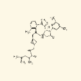 C=C(CN(C)C)C(=O)NCC12CC(CN3C[C@H]4CC(=O)N(c5cc(C(F)(F)F)cc(C)n5)[C@@H]4C(=O)N(C)c4cccc(C)c43)(C1)C2